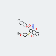 CCCCOc1ccc(Sc2cc(C(=O)OC3CCC4CC(CC)CCC4C3)c(N)c3c2C(=O)c2ccccc2C3=O)cc1